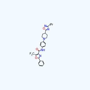 CC(C)c1noc(C2CCN(c3ccc(NC(=O)c4nc(-c5ccccc5)oc4C(F)(F)F)cc3)CC2)n1